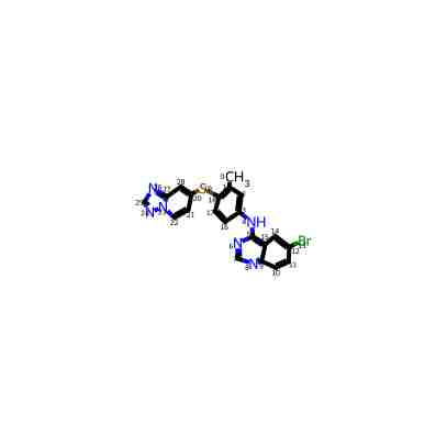 Cc1cc(Nc2ncnc3ccc(Br)cc23)ccc1Sc1ccn2ncnc2c1